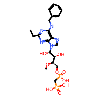 CCc1nc(NCc2ccccc2)c2ncn([C@H](O)[C@H](O)[C@@H](COP(=O)(O)CP(=O)(O)O)OC)c2n1